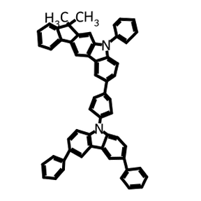 CC1(C)c2ccccc2-c2cc3c4cc(-c5ccc(-n6c7ccc(-c8ccccc8)cc7c7cc(-c8ccccc8)ccc76)cc5)ccc4n(-c4ccccc4)c3cc21